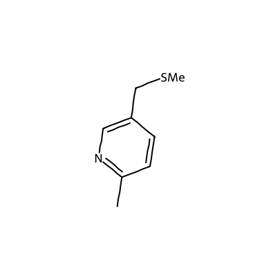 CSCc1ccc(C)nc1